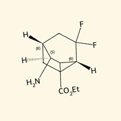 CCOC(=O)C1[C@@H](N)[C@@H]2CC[C@H]1C(F)(F)C2